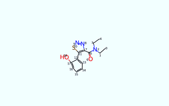 CCN(CC)C(=O)c1nnsc1-c1ccccc1O